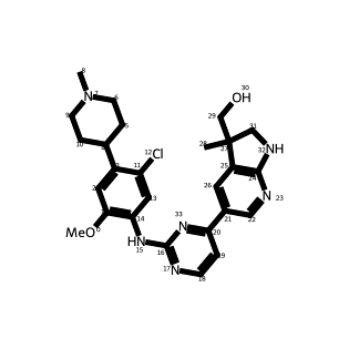 COc1cc(C2CCN(C)CC2)c(Cl)cc1Nc1nccc(-c2cnc3c(c2)C(C)(CO)CN3)n1